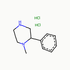 CN1CCNCC1c1ccccc1.Cl.Cl